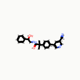 CC(C)(C(=O)NCC(O)c1ccccc1)c1ccc(-c2cncc(C#N)c2)cc1